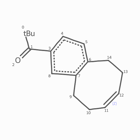 CC(C)(C)C(=O)c1ccc2c(c1)CC/C=C\CC2